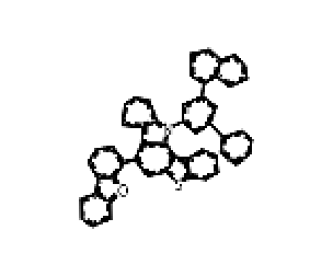 c1ccc(-c2cc(-c3cccc4ccccc34)cc(-n3c4ccccc4c4c(-c5cccc6c5oc5ccccc56)cc5sc6ccccc6c5c43)c2)cc1